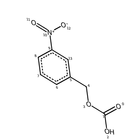 O=C(O)OCc1cccc([N+](=O)[O-])c1